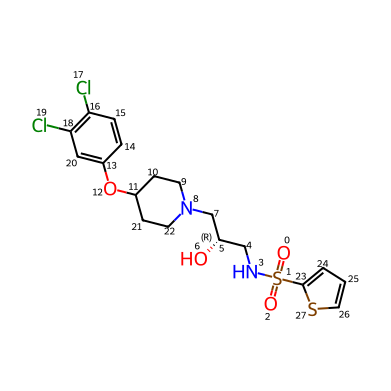 O=S(=O)(NC[C@H](O)CN1CCC(Oc2ccc(Cl)c(Cl)c2)CC1)c1cccs1